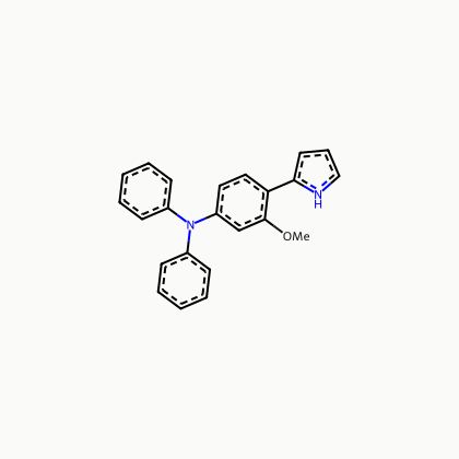 COc1cc(N(c2ccccc2)c2ccccc2)ccc1-c1ccc[nH]1